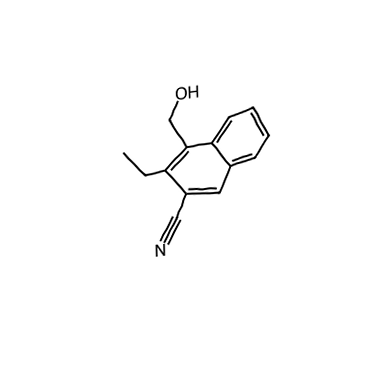 CCc1c(C#N)cc2ccccc2c1CO